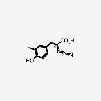 [N-]=[N+]=N[C@@H](Cc1ccc(O)c(F)c1)C(=O)O